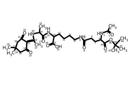 CC(=O)NC(CCC(=O)NCCCCC(NC(=O)C(C)NC(C)=C1C(=O)CC(C)(C)CC1=O)C(=O)O)C(=O)OC(C)(C)C